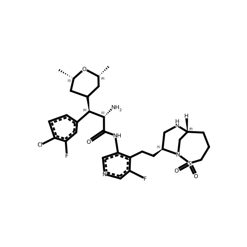 C[C@@H]1CC([C@H](c2ccc(Cl)c(F)c2)[C@H](N)C(=O)Nc2cncc(F)c2CC[C@H]2CN[C@@H]3CCCS(=O)(=O)N2C3)C[C@H](C)O1